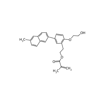 C=C(C)C(=O)OCCc1cc(-c2ccc3cc(C)ccc3c2)ccc1OCCO